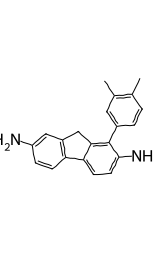 Cc1ccc(-c2c(N)ccc3c2Cc2cc(N)ccc2-3)cc1C